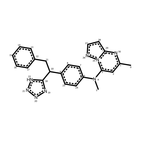 Cc1cc(N(C)c2ccc(C(Cc3ccccc3)c3nnn[nH]3)cc2)n2nccc2n1